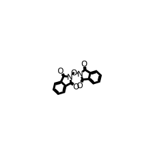 O=C1c2ccccc2C(=O)N1ON1C(=O)c2ccccc2C1=O